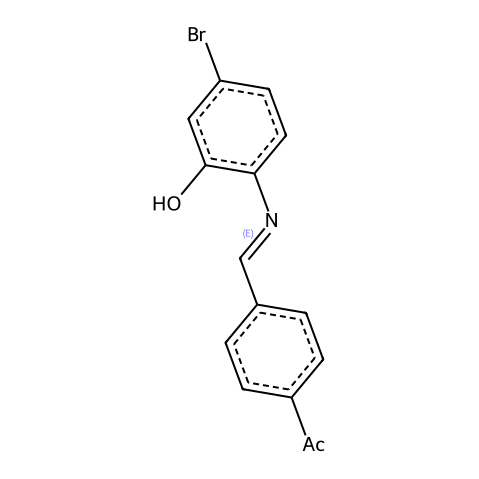 CC(=O)c1ccc(/C=N/c2ccc(Br)cc2O)cc1